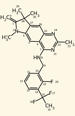 C=C1N(C)c2cc3c(NCc4cccc(C(C)(F)F)c4F)nc(C)nc3cc2C1(C)C